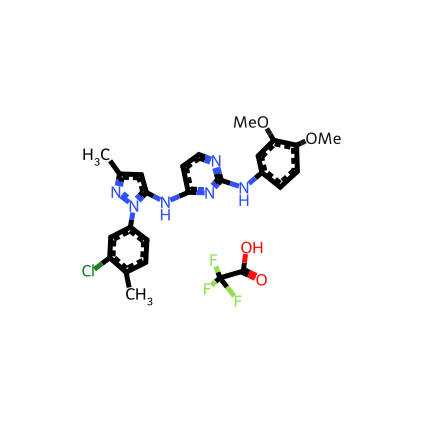 COc1ccc(Nc2nccc(Nc3cc(C)nn3-c3ccc(C)c(Cl)c3)n2)cc1OC.O=C(O)C(F)(F)F